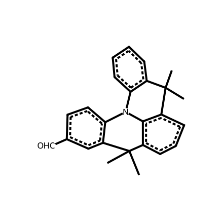 CC1(C)c2ccccc2N2c3ccc(C=O)cc3C(C)(C)c3cccc1c32